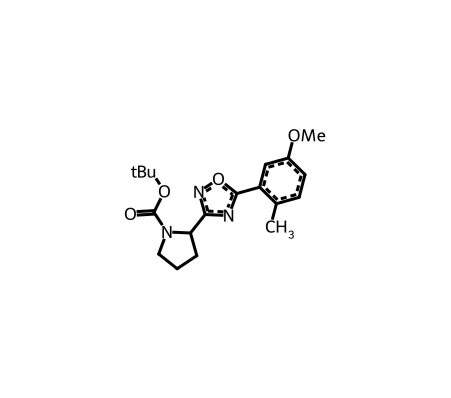 COc1ccc(C)c(-c2nc(C3CCCN3C(=O)OC(C)(C)C)no2)c1